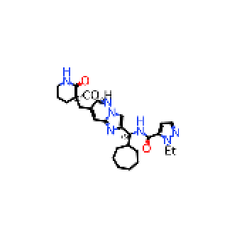 CCn1nccc1C(=O)N[C@H](c1cn2ncc(C[C@@]3(C(=O)O)CCCNC3=O)cc2n1)C1CCCCCC1